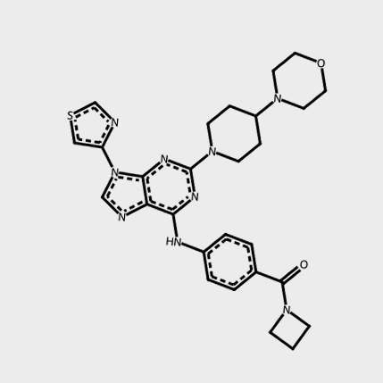 O=C(c1ccc(Nc2nc(N3CCC(N4CCOCC4)CC3)nc3c2ncn3-c2cscn2)cc1)N1CCC1